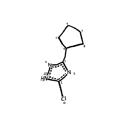 Clc1nc(C2CCCC2)n[nH]1